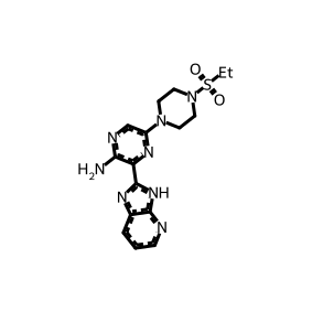 CCS(=O)(=O)N1CCN(c2cnc(N)c(-c3nc4cccnc4[nH]3)n2)CC1